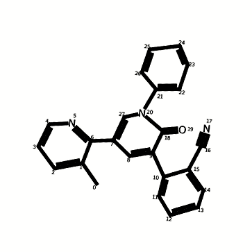 Cc1cccnc1-c1cc(-c2ccccc2C#N)c(=O)n(-c2ccccc2)c1